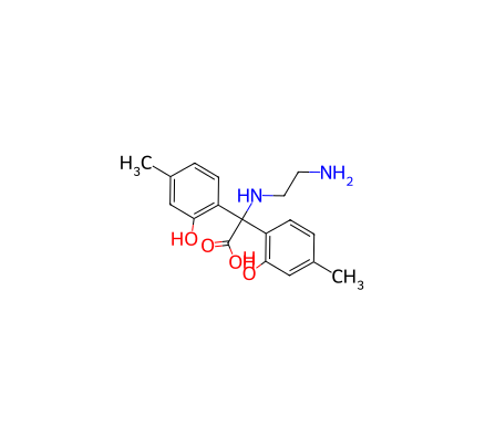 Cc1ccc(C(NCCN)(C(=O)O)c2ccc(C)cc2O)c(O)c1